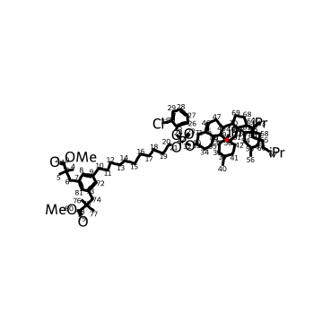 COC(=O)C(C)(C)Cc1cc(CCCCCCCCCCCOP(=O)(Oc2ccccc2Cl)O[C@@H]2CC[C@@]3(C4CC(C)CCC4C(C)C)C(=CCC4C3CC[C@@]3(C5CC(C)CCC5C(C)C)C(C(C)CCCC(C)C)CCC43)C2)cc(CC(C)(C)C(=O)OC)c1